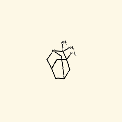 NC12CC3CC(CN(C3)C1(N)N)C2